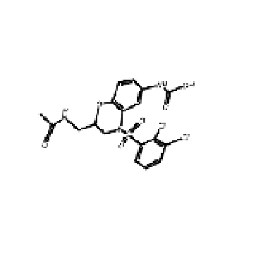 CC(=O)NCC1CN(S(=O)(=O)c2cccc(Cl)c2Cl)c2cc(NC(=O)O)ccc2O1